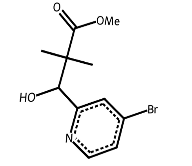 COC(=O)C(C)(C)C(O)c1cc(Br)ccn1